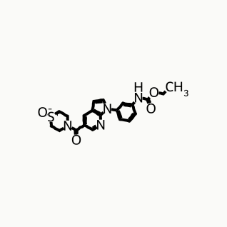 CCOC(=O)Nc1cccc(-n2ccc3cc(C(=O)N4CC[S+]([O-])CC4)cnc32)c1